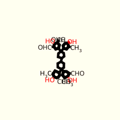 Cc1cc(C2(c3cc(C)c(O)c(C=O)c3)CCC(C3CCC(c4cc(C)c(O)c(C=O)c4)(c4cc(C)c(O)c(C=O)c4)CC3)CC2)cc(C=O)c1O